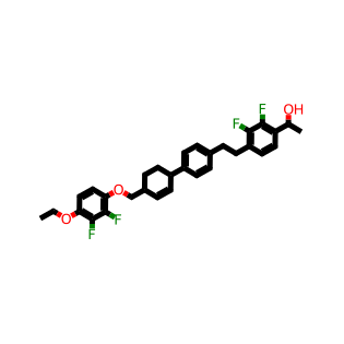 CCOc1ccc(OCC2C=CC(c3ccc(CCc4ccc(C(C)O)c(F)c4F)cc3)CC2)c(F)c1F